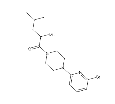 CC(C)CC(O)C(=O)N1CCN(c2cccc(Br)n2)CC1